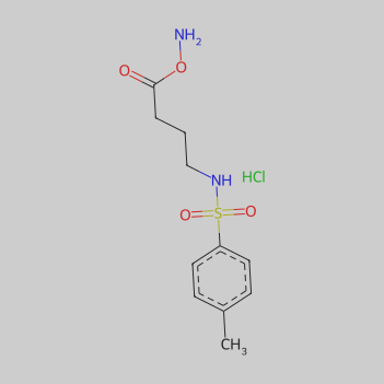 Cc1ccc(S(=O)(=O)NCCCC(=O)ON)cc1.Cl